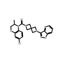 CC1COc2cc(Cl)ccc2N1C(=O)N1CC2(C1)CN(c1noc3cccnc13)C2